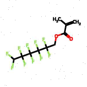 C=C(C)C(=O)OCC(F)(F)C(F)(F)C(F)(F)C(F)(F)C(F)F